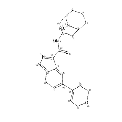 CN1C2CCCC1CC(NC(=O)C1=NN=C3CC=C(C4=CCOCC4)C=C31)C2